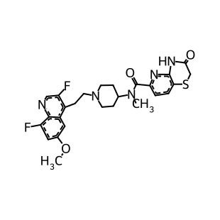 COc1cc(F)c2ncc(F)c(CCN3CCC(N(C)C(=O)c4ccc5c(n4)NC(=O)CS5)CC3)c2c1